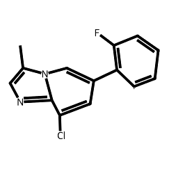 Cc1cnc2c(Cl)cc(-c3[c]cccc3F)cn12